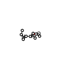 c1ccc(-c2cccc(-n3c4ccccc4c4cc(-c5ccc6c(c5)c5ccccc5n6-c5ccccc5-c5cccc6oc7ccccc7c56)ccc43)c2)cc1